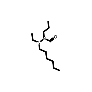 CCCCCCN(CC)N([C]=O)CCC